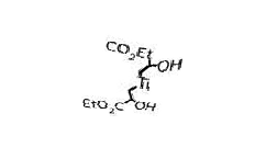 CCOC(=O)C(O)[CH2][Ti][CH2]C(O)C(=O)OCC